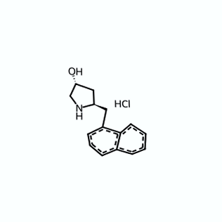 Cl.O[C@H]1CN[C@H](Cc2cccc3ccccc23)C1